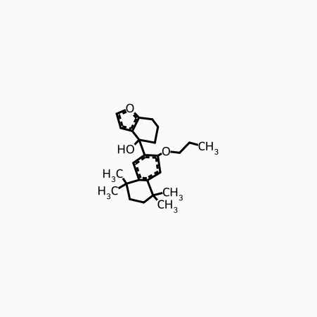 CCCOc1cc2c(cc1C1(O)CCCc3occc31)C(C)(C)CCC2(C)C